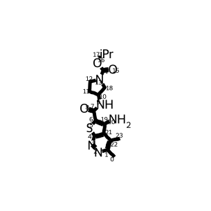 Cc1nnc2sc(C(=O)NC3CCN(C(=O)OC(C)C)C3)c(N)c2c1C